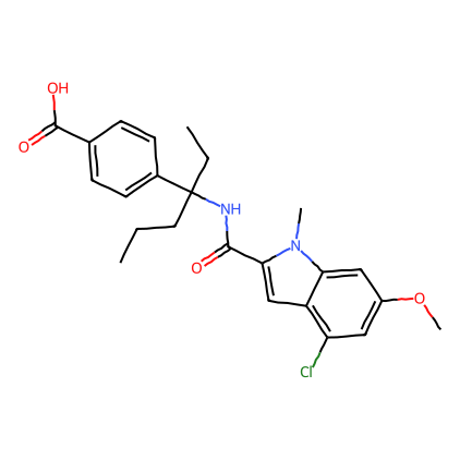 CCCC(CC)(NC(=O)c1cc2c(Cl)cc(OC)cc2n1C)c1ccc(C(=O)O)cc1